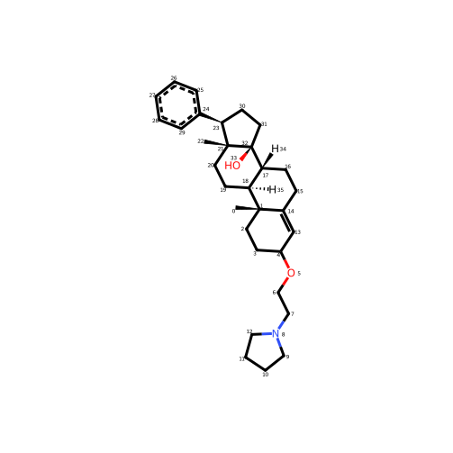 C[C@]12CCC(OCCN3CCCC3)C=C1CC[C@@H]1[C@@H]2CC[C@]2(C)[C@@H](c3ccccc3)CC[C@]12O